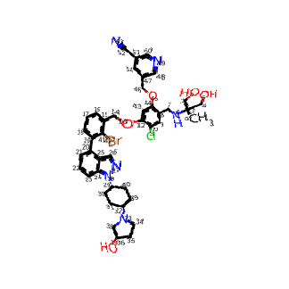 CC(CO)(CO)NCc1cc(Cl)c(OCc2cccc(-c3cccc4c3cnn4[C@H]3CC[C@H](N4CC[C@@H](O)C4)CC3)c2Br)cc1OCc1cncc(C#N)c1